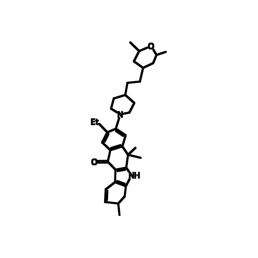 CCc1cc2c(cc1N1CCC(CCC3CC(C)OC(C)C3)CC1)C(C)(C)c1[nH]c3c(c1C2=O)C=CC(C)C3